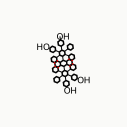 Oc1ccc(-c2c(-c3ccccc3)c(-c3ccccc3)c(-c3c4ccccc4c(-c4c(-c5ccccc5)c(-c5ccccc5)c(-c5ccc(O)cc5)c(-c5ccc(O)cc5)c4-c4ccccc4)c4ccccc34)c(-c3ccccc3)c2-c2ccc(O)cc2)cc1